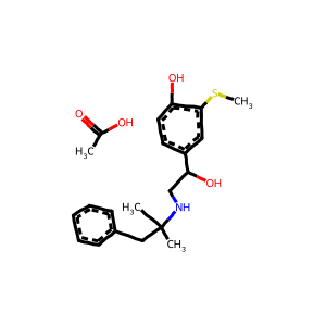 CC(=O)O.CSc1cc(C(O)CNC(C)(C)Cc2ccccc2)ccc1O